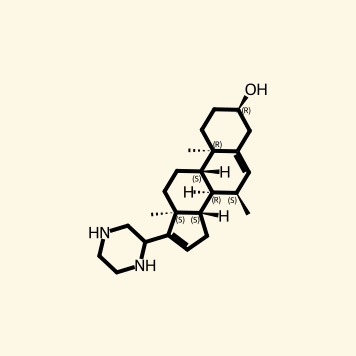 C[C@@H]1C=C2C[C@H](O)CC[C@]2(C)[C@H]2CC[C@]3(C)C(C4CNCCN4)=CC[C@H]3[C@H]12